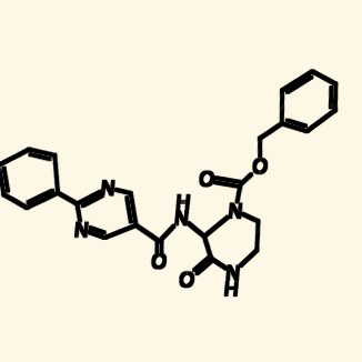 O=C(NC1C(=O)NCCN1C(=O)OCc1ccccc1)c1cnc(-c2ccccc2)nc1